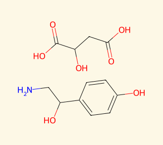 NCC(O)c1ccc(O)cc1.O=C(O)CC(O)C(=O)O